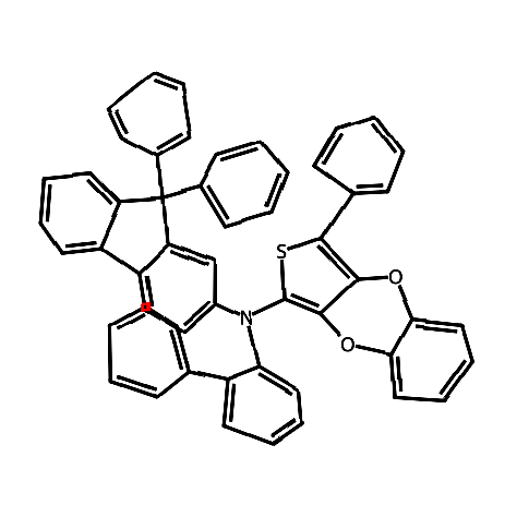 c1ccc(-c2ccccc2N(c2ccc3c(c2)C(c2ccccc2)(c2ccccc2)c2ccccc2-3)c2sc(-c3ccccc3)c3c2Oc2ccccc2O3)cc1